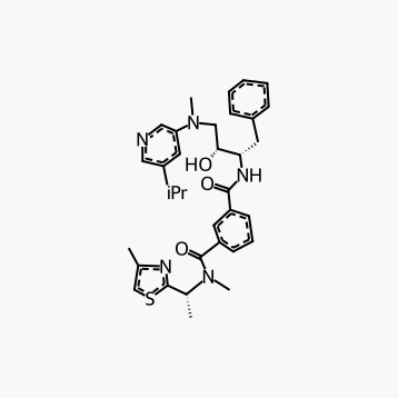 Cc1csc([C@@H](C)N(C)C(=O)c2cccc(C(=O)N[C@@H](Cc3ccccc3)[C@H](O)CN(C)c3cncc(C(C)C)c3)c2)n1